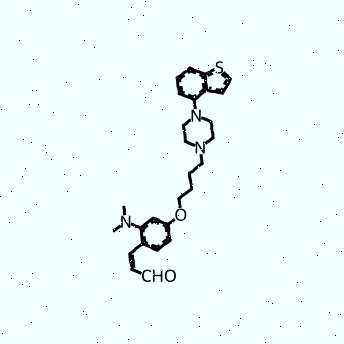 CN(C)c1cc(OCCCCN2CCN(c3cccc4sccc34)CC2)ccc1/C=C\C=O